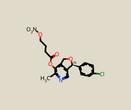 Cc1ncc2c(c1OC(=O)CCCO[N+](=O)[O-])CO[C@H]2c1ccc(Cl)cc1